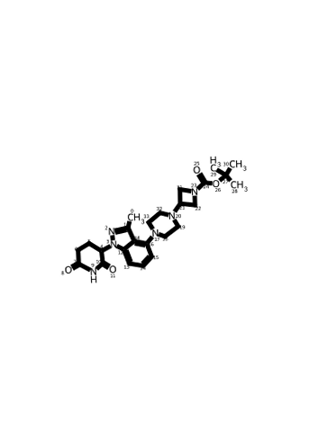 Cc1nn(C2CCC(=O)NC2=O)c2cccc(N3CCN(C4CN(C(=O)OC(C)(C)C)C4)CC3)c12